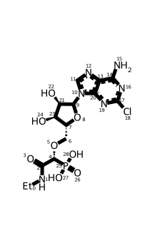 CCNC(=O)[C@H](OC[C@H]1OC(n2cnc3c(N)nc(Cl)nc32)[C@H](O)[C@@H]1O)P(=O)(O)O